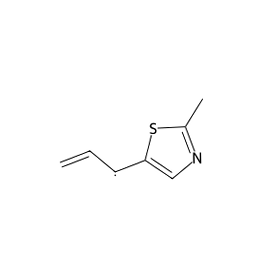 C=C[CH]c1cnc(C)s1